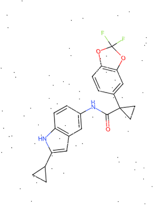 O=C(Nc1ccc2[nH]c(C3CC3)cc2c1)C1(c2ccc3c(c2)OC(F)(F)O3)CC1